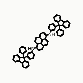 c1ccc(C2(c3cccc(Nc4ccc5ccc6c(Nc7cccc(C8(c9ccccc9)c9ccccc9-c9ccccc98)c7)ccc7ccc4c5c76)c3)c3ccccc3-c3ccccc32)cc1